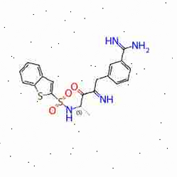 C[C@H](NS(=O)(=O)c1cc2ccccc2s1)C(=O)C(=N)Cc1cccc(C(=N)N)c1